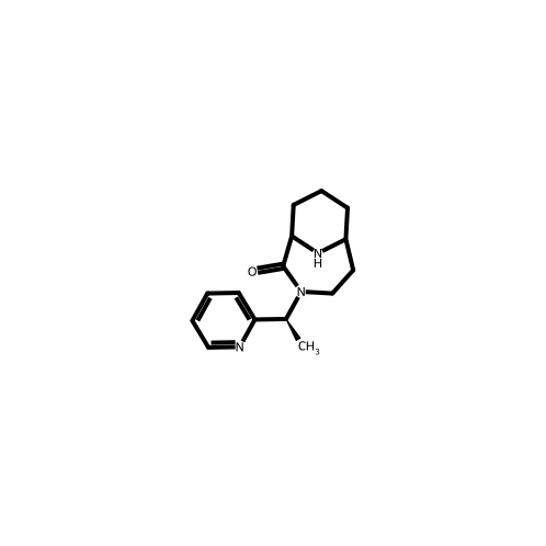 C[C@@H](c1ccccn1)N1CCC2CCCC(N2)C1=O